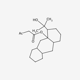 CC(=O)CC(=O)OC12CC3CCCCC3CC1CCCC2C(C)(C)O